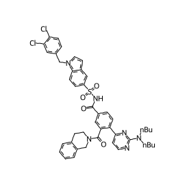 CCCCN(CCCC)c1nccc(-c2ccc(C(=O)NS(=O)(=O)c3ccc4c(ccn4Cc4ccc(Cl)c(Cl)c4)c3)cc2C(=O)N2CCc3ccccc3C2)n1